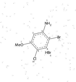 Br.COc1cc(N)c(Br)cc1Cl